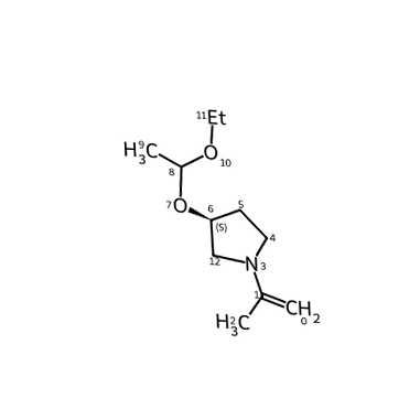 C=C(C)N1CC[C@H](OC(C)OCC)C1